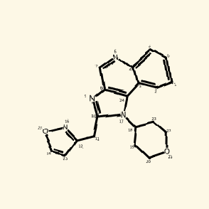 c1ccc2c(c1)ncc1nc(Cc3ccon3)n(C3CCOCC3)c12